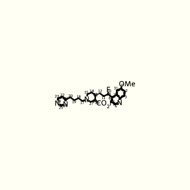 COc1ccc2nccc([C@H](F)CC[C@@H]3CCN(CCCCc4ccncn4)C[C@@H]3C(=O)O)c2c1